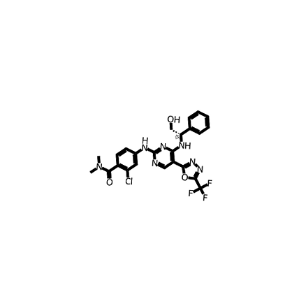 CN(C)C(=O)c1ccc(Nc2ncc(-c3nnc(C(F)(F)F)o3)c(N[C@H](CO)c3ccccc3)n2)cc1Cl